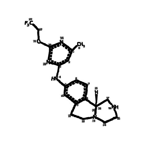 Cc1cc(Nc2ccc3c(c2)CCN2CCNC[C@@H]32)nc(OCC(F)(F)F)n1